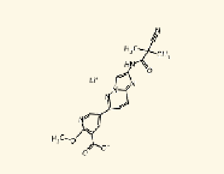 COc1ncc(-c2ccc3nc(NC(=O)C(C)(C)C#N)cn3n2)cc1C(=O)[O-].[Li+]